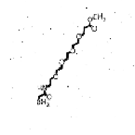 BCC(=O)NCCOCCOCCOCCOCCC(=O)OC